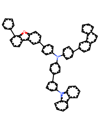 c1ccc(-c2cccc3c2oc2ccc(-c4ccc(N(c5ccc(-c6cccc(-n7c8ccccc8c8ccccc87)c6)cc5)c5ccc(-c6ccc7ccc8ccccc8c7c6)cc5)cc4)cc23)cc1